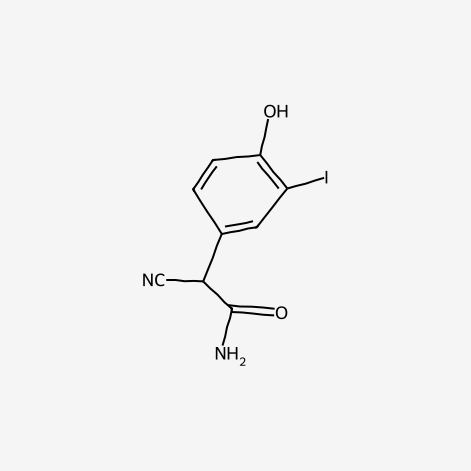 N#CC(C(N)=O)c1ccc(O)c(I)c1